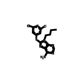 CCCCn1c(Sc2cc(Cl)nc(Cl)c2)nc2c(N)ncnc21